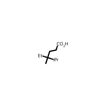 CCC(C)(CCC(=O)O)C(C)C